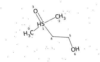 C[SH](C)(=O)CCO